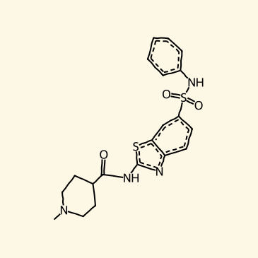 CN1CCC(C(=O)Nc2nc3ccc(S(=O)(=O)Nc4ccccc4)cc3s2)CC1